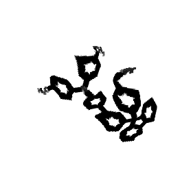 Cc1ccc(N(c2ccc(C)cc2)c2ccc(-c3cccc(C4(c5ccc(CC(C)C)cc5)c5ccccc5-c5ccccc54)c3)cc2)cc1